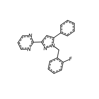 Fc1ccccc1Cn1nc(-c2ncccn2)cc1-c1ccccc1